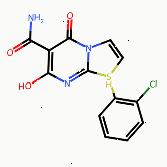 NC(=O)c1c(O)nc2n(c1=O)C=C[SH]2c1ccc[c]c1Cl